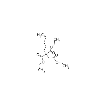 C=CCCCC(CC(=O)OCC)(C(=O)OCC)C(=O)OCC